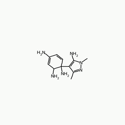 Cc1nn(C)c(N)c1C1(N)C=CC(N)=CC1N